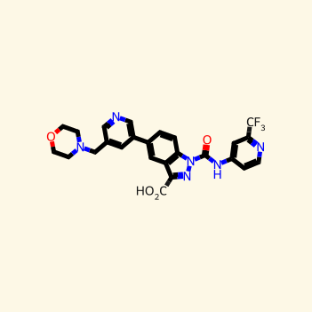 O=C(O)c1nn(C(=O)Nc2ccnc(C(F)(F)F)c2)c2ccc(-c3cncc(CN4CCOCC4)c3)cc12